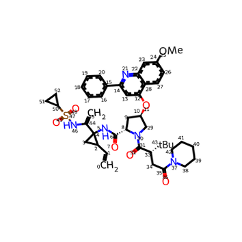 C=CC1CC1(NC(=O)[C@@H]1C[C@@H](Oc2cc(-c3ccccc3)nc3cc(OC)ccc23)CN1C(=O)[C@@H](CC(=O)N1CCCCC1)C(C)(C)C)C(=C)NS(=O)(=O)C1CC1